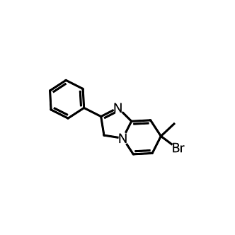 CC1(Br)C=CN2CC(c3ccccc3)=NC2=C1